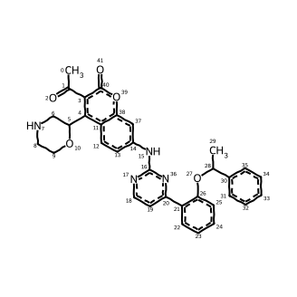 CC(=O)c1c(C2CNCCO2)c2ccc(Nc3nccc(-c4ccccc4OC(C)c4ccccc4)n3)cc2oc1=O